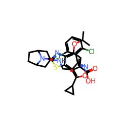 CC(C)Oc1cc(C(=O)O)cc2sc(N3C4CCC3CC(NCc3c(-c5c(Cl)cccc5Cl)noc3C3CC3)C4)nc12